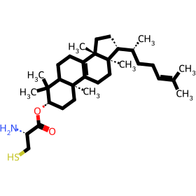 CC(C)=CCC[C@@H](C)[C@H]1CC[C@@]2(C)C3=C(CC[C@]12C)[C@@]1(C)CC[C@H](OC(=O)[C@@H](N)CS)C(C)(C)C1CC3